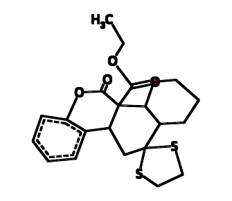 CCOC(=O)C12C(=O)Oc3ccccc3C1CC1(SCCS1)C1CCCCC12